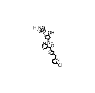 NS(=O)(=O)OC[C@H]1C[C@@H](Nc2ncncc2C(=O)c2cc(Cc3cccc(Cl)n3)cs2)C[C@@H]1O